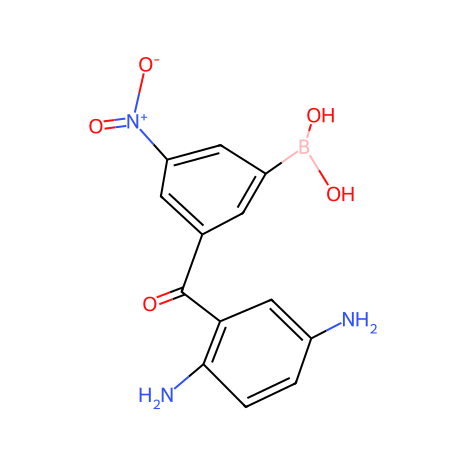 Nc1ccc(N)c(C(=O)c2cc(B(O)O)cc([N+](=O)[O-])c2)c1